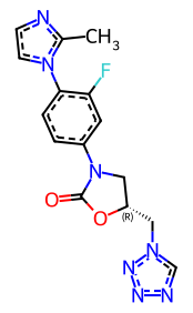 Cc1nccn1-c1ccc(N2C[C@H](Cn3cnnn3)OC2=O)cc1F